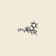 CC(C)(OC(=O)CCCl)C(=O)c1ccccc1